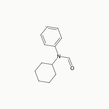 O=CN(c1cc[c]cc1)C1CCCCC1